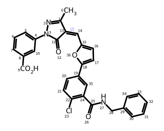 CC1=NN(c2cccc(C(=O)O)c2)C(=O)/C1=C\c1ccc(-c2ccc(Cl)c(C(=O)NCc3ccccc3)c2)o1